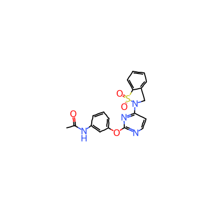 CC(=O)Nc1cccc(Oc2nccc(N3Cc4ccccc4S3(=O)=O)n2)c1